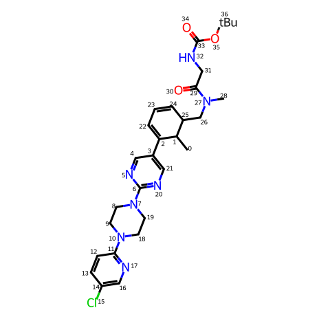 CC1C(c2cnc(N3CCN(c4ccc(Cl)cn4)CC3)nc2)=CC=CC1CN(C)C(=O)CNC(=O)OC(C)(C)C